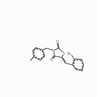 Cc1ccc(CN2C(=O)S/C(=C\c3ccccc3Br)C2=O)cc1